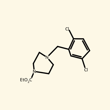 CCOC(=O)N1CCN(Cc2cc(Cl)ccc2Cl)CC1